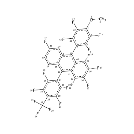 COc1c(F)c(F)c(-c2c3cc(F)ccc3c(-c3c(F)c(F)c(C(F)(F)F)c(F)c3F)c3c(F)c(F)c(F)c(F)c23)c(F)c1F